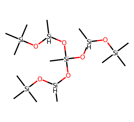 C[SiH](O[Si](C)(C)C)O[Si](C)(O[SiH](C)O[Si](C)(C)C)O[SiH](C)O[Si](C)(C)C